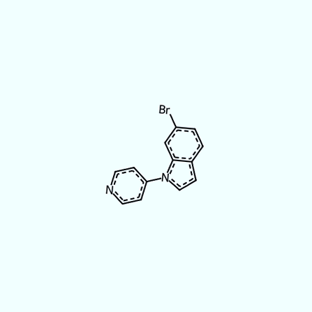 Brc1ccc2ccn(-c3ccncc3)c2c1